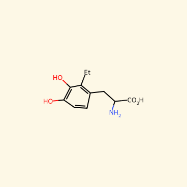 CCc1c(CC(N)C(=O)O)ccc(O)c1O